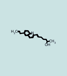 C=CCc1ccc2nc(C=CCCCC(C)O)ccc2c1